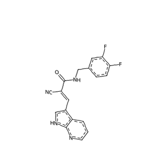 N#C/C(=C\c1c[nH]c2ncccc12)C(=O)NCc1ccc(F)c(F)c1